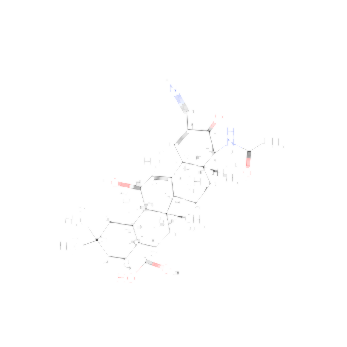 CC(=O)N[C@]1(C)C(=O)C(C#N)=C[C@]2(C)C3=CC(=O)[C@@H]4[C@@H]5CC(C)(C)CC[C@]5(C(=O)O)CC[C@@]4(C)[C@]3(C)CC[C@H]21